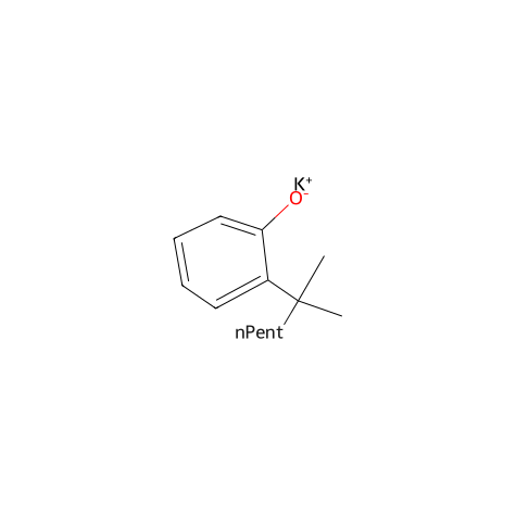 CCCCCC(C)(C)c1ccccc1[O-].[K+]